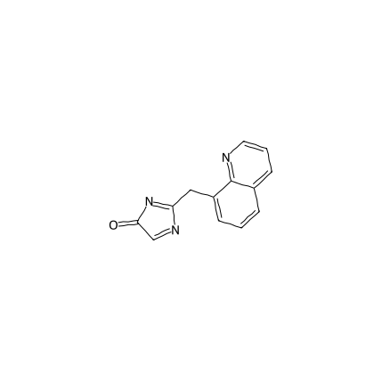 O=C1C=NC(Cc2cccc3cccnc23)=N1